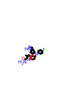 C=C(c1cnc(C(N)=O)c(C)c1)c1cc2[nH]ncc2cc1N(CC1CCOCC1)c1ccc(F)cc1